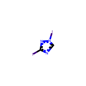 Ic1ncn(I)n1